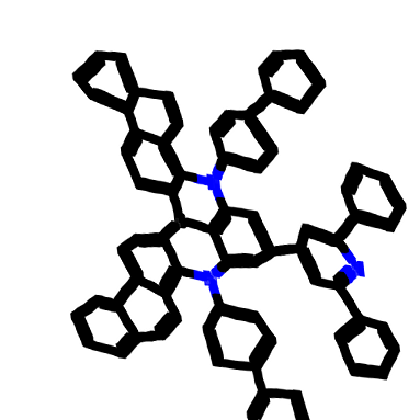 c1ccc(-c2ccc(N3c4cc(-c5cc(-c6ccccc6)nc(-c6ccccc6)c5)cc5c4B(c4ccc6c(ccc7ccccc76)c43)c3ccc4c(ccc6ccccc64)c3N5c3ccc(-c4ccccc4)cc3)cc2)cc1